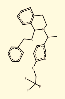 CC(c1ccc(OCC(F)(F)F)nc1)N1CCc2ccccc2C1SCc1ccccc1